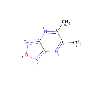 Cc1nc2nonc2nc1C